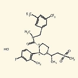 Cc1cc(F)ccc1[C@@H]1CN(C(C)CS(C)(=O)=O)CC[C@H]1C(=O)N(C)Cc1cc(C(F)(F)F)cc(C(F)(F)F)c1.Cl